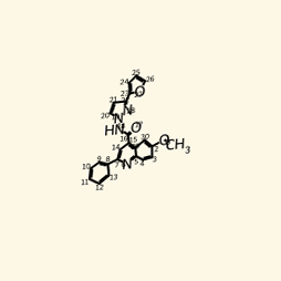 COc1ccc2nc(-c3ccccc3)cc(C(=O)Nn3ccc(-c4ccco4)n3)c2c1